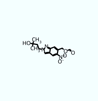 CC(C)(O)CCn1cc2cc([N+](=O)[O-])c(COC=O)cc2n1